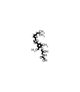 CCc1cc(-c2nnc(-c3ccc(CC(C)C)s3)o2)cc(C)c1OCC(O)CNC(=O)CO